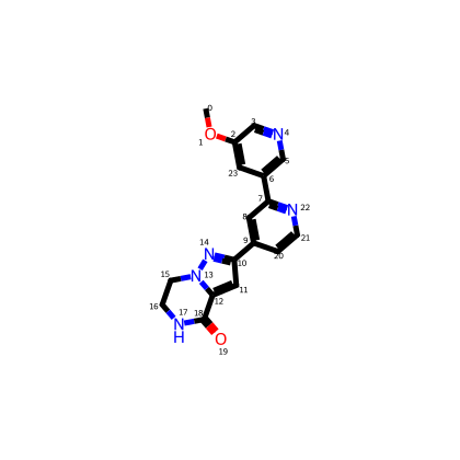 COc1cncc(-c2cc(-c3cc4n(n3)CCNC4=O)ccn2)c1